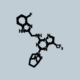 CN1C2CCC1CN(c1nc(NCc3nc4c(F)cccc4[nH]3)n3ncc(C(F)(F)F)c3n1)C2